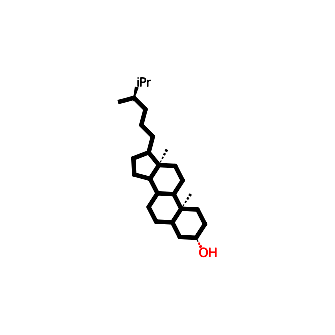 CC(C)[C@H](C)CCCC1CCC2C3CCC4C[C@@H](O)CC[C@]4(C)C3CC[C@]12C